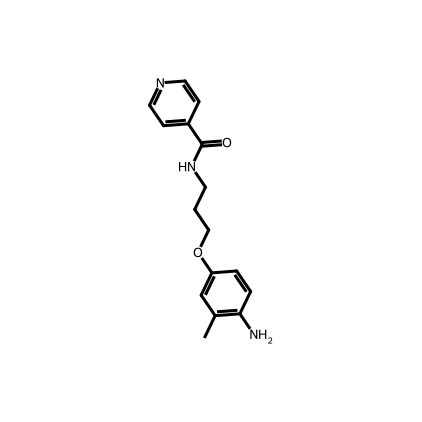 Cc1cc(OCCCNC(=O)c2ccncc2)ccc1N